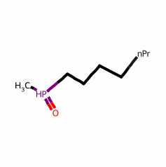 CCCCCCC[PH](C)=O